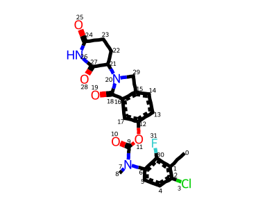 Cc1c(Cl)ccc(N(C)C(=O)Oc2ccc3c(c2)C(=O)N(C2CCC(=O)NC2=O)C3)c1F